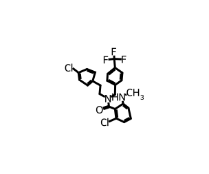 CNc1cccc(Cl)c1C(=O)N(CCc1ccc(Cl)cc1)Cc1ccc(C(F)(F)F)cc1